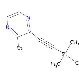 CCc1nccnc1C#C[Si](C)(C)C